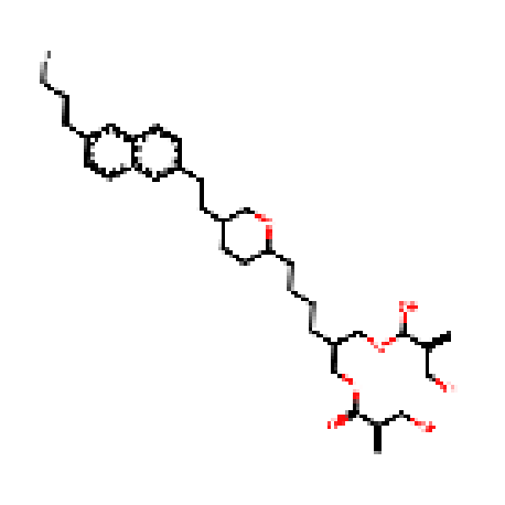 C=C(CO)C(=O)OCC(CCCCC1CCC(CCc2ccc3cc(CCCC(C)C)ccc3c2)CO1)COC(O)C(=C)CO